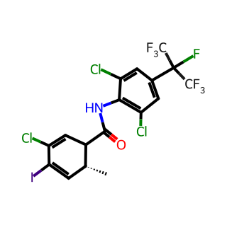 C[C@@H]1C=C(I)C(Cl)=CC1C(=O)Nc1c(Cl)cc(C(F)(C(F)(F)F)C(F)(F)F)cc1Cl